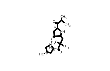 CC(C)C(=O)[C@@H]1CC(=O)C(CC(C)(C)C(=O)[C@@H]2C[C@H](O)CN2)N1